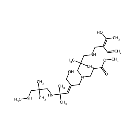 C=C/C(CNCC(C)(C)CN(CCC(=O)OC)C/C(=C/C(C)(C)NCC(C)(C)CNC)CO)=C(\C)O